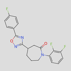 O=C1CC(c2noc(-c3ccc(F)cc3)n2)CCCN1c1cccc(F)c1F